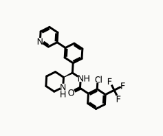 O=C(NC(c1cccc(-c2cccnc2)c1)[C@@H]1CCCCN1)c1cccc(C(F)(F)F)c1Cl